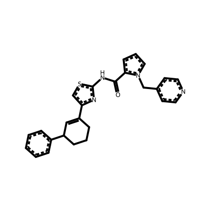 O=C(Nc1nc(C2=CC(c3ccccc3)CCC2)cs1)c1cccn1Cc1ccncc1